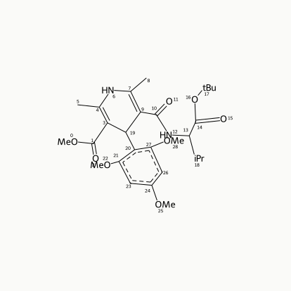 COC(=O)C1=C(C)NC(C)=C(C(=O)NC(C(=O)OC(C)(C)C)C(C)C)C1c1c(OC)cc(OC)cc1OC